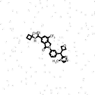 CCC(NC1(C)CCC1)c1cc2c(c(C(F)(F)F)c1)CN(c1cccc(C(c3nncn3C)C3COC3)c1)C2=O